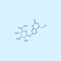 O=C(O)[C@H]1O[C@@H](Oc2ccc3c(CCl)cc(=O)oc3c2)[C@H](O)[C@@H](O)[C@@H]1O